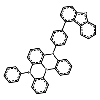 c1ccc(N2c3ccccc3B3c4ccccc4N(c4ccc(-c5cccc6oc7ccccc7c56)cc4)c4cccc2c43)cc1